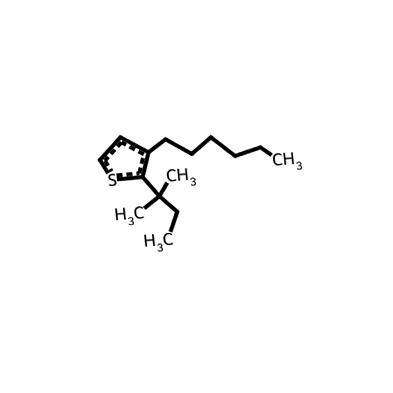 CCCCCCc1ccsc1C(C)(C)CC